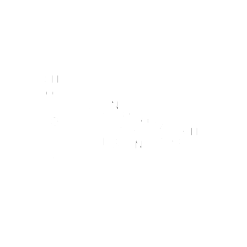 COC(=O)C1CCCCN1C(=O)C1(C)CC(c2ccc(OC)c(OC3CCCC3)c2)=NO1